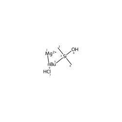 CCC[CH2][Mg+2].C[Si](C)(C)O.Cl